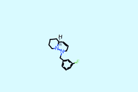 Fc1cccc(CN2CC=C[C@@H]3CCCCN32)c1